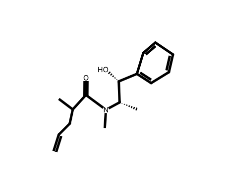 C=CCC(C)C(=O)N(C)[C@@H](C)[C@H](O)c1ccccc1